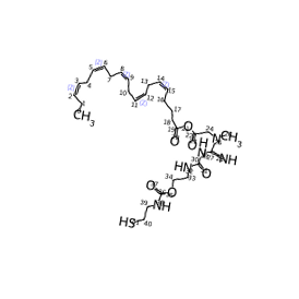 CC/C=C\C/C=C\C/C=C\C/C=C\C/C=C\CCCC(=O)OC(=O)CN(C)C(=N)NC(=O)NCCOC(=O)NCCS